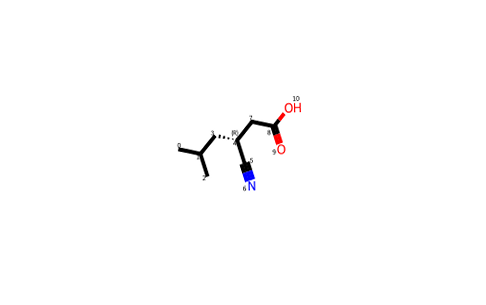 CC(C)C[C@@H](C#N)CC(=O)O